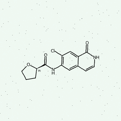 O=C(Nc1cc2cc[nH]c(=O)c2cc1Cl)[C@H]1CCCO1